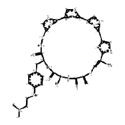 C=C1O/C=C(\N)c2nc(co2)-c2nc(co2)-c2nc(co2)-c2nc(co2)CNC(=O)C(Cc2ccc(NCCN(C)C)cc2)NC(=O)C(C(C)C)NC1=O